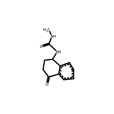 CNC(=O)NC1CCC(=O)c2ccccc21